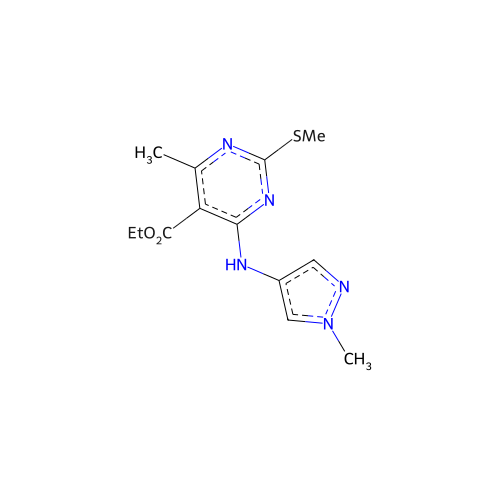 CCOC(=O)c1c(C)nc(SC)nc1Nc1cnn(C)c1